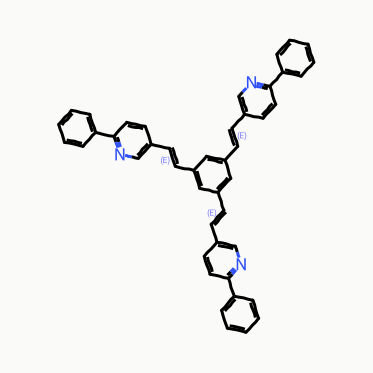 C(=C\c1cc(/C=C/c2ccc(-c3ccccc3)nc2)cc(/C=C/c2ccc(-c3ccccc3)nc2)c1)/c1ccc(-c2ccccc2)nc1